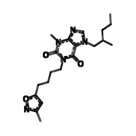 CCCC(C)Cn1cnc2c1c(=O)n(CCCCc1cc(C)no1)c(=O)n2C